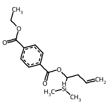 C=CCC(OC(=O)c1ccc(C(=O)OCC)cc1)[SiH](C)C